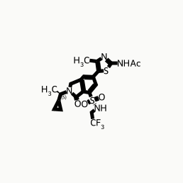 CC(=O)Nc1nc(C)c(-c2cc3c(c(S(=O)(=O)NCC(F)(F)F)c2)C(=O)N([C@@H](C)C2CC2)C3)s1